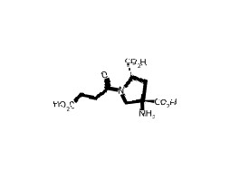 N[C@@]1(C(=O)O)C[C@@H](C(=O)O)N(C(=O)CCC(=O)O)C1